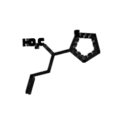 C=CCC(C(=O)O)c1cccs1